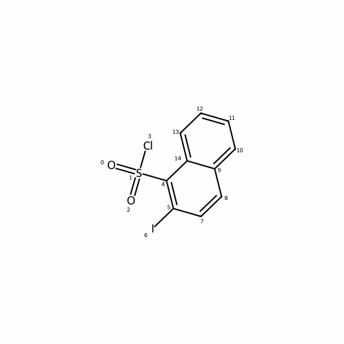 O=S(=O)(Cl)c1c(I)ccc2ccccc12